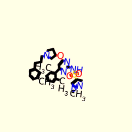 Cc1cccc(CCCN2CCC(Oc3cc(-c4c(C)cccc4C)nc(NS(=O)(=O)c4cnn(C)c4)n3)C2)c1